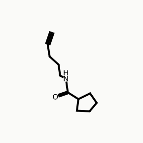 C#CCCCNC(=O)C1CCCC1